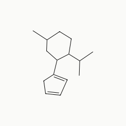 CC1CCC(C(C)C)C(C2=CC=CC2)C1